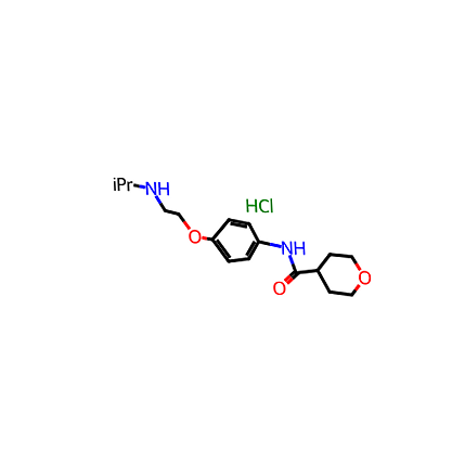 CC(C)NCCOc1ccc(NC(=O)C2CCOCC2)cc1.Cl